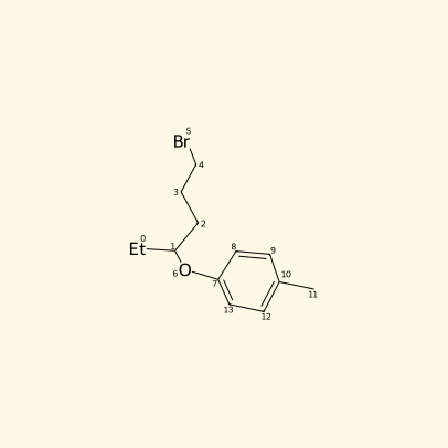 CCC(CCCBr)Oc1ccc(C)cc1